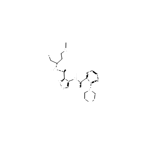 CCC(CCNC)NC(=O)c1n[nH]cc1NC(=O)c1ccccc1N1CCOCC1